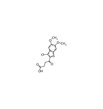 COc1cc2sc(C(=O)CCC(=O)O)c(Cl)c2cc1OC